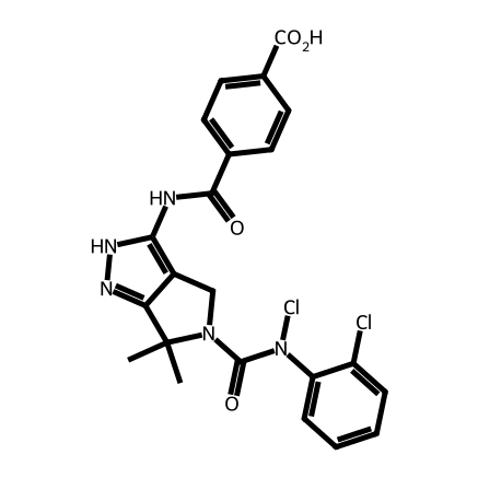 CC1(C)c2n[nH]c(NC(=O)c3ccc(C(=O)O)cc3)c2CN1C(=O)N(Cl)c1ccccc1Cl